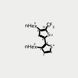 CCCCCCc1ccsc1-c1cc(CCCCCC)c(C(F)(F)F)s1